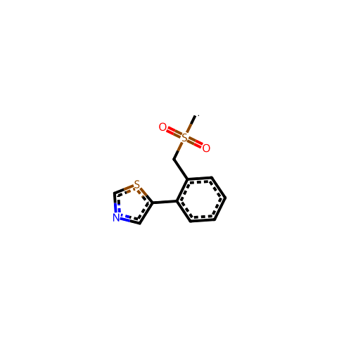 [CH2]S(=O)(=O)Cc1ccccc1-c1cncs1